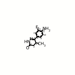 CC1CC(=O)NN=C1c1ccc(N)c(F)c1